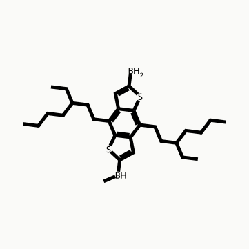 Bc1cc2c(CCC(CC)CCCC)c3sc(BC)cc3c(CCC(CC)CCCC)c2s1